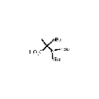 CCCCN(CCCC)C(C)(CCCC)C(=O)O